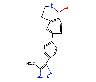 O=C(O)c1[nH]nnc1-c1ccc(-c2ccc3c(c2)CCNC3O)cc1